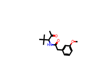 COc1cccc(CC(=O)NC(C(C)=O)C(C)(C)C)c1